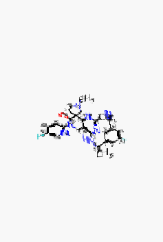 Cc1nc(N[C@H](C)c2cc(F)cc(C#N)c2)c2c(n1)C1(CCN(C)C1)C(=O)N(c1ccc(F)cn1)C2